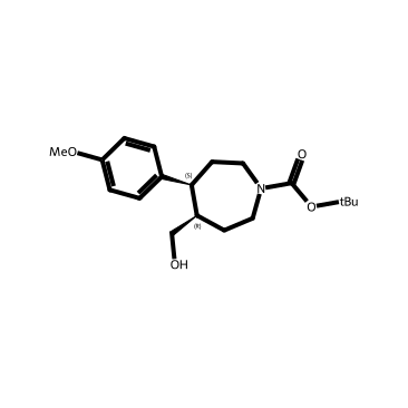 COc1ccc([C@H]2CCN(C(=O)OC(C)(C)C)CC[C@H]2CO)cc1